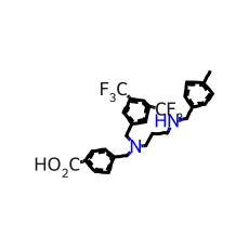 Cc1ccc(CNCCCN(Cc2ccc(C(=O)O)cc2)Cc2cc(C(F)(F)F)cc(C(F)(F)F)c2)cc1